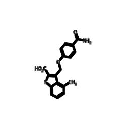 Cc1cccc2sc(C(=O)O)c(COc3ccc(C(N)=O)cc3)c12